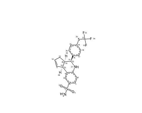 NS(=O)(=O)c1ccc2c(c1)[C@H]1C=CC[C@H]1[C@@H](c1ccc(SC(F)(F)F)cc1)N2